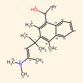 CCCC(O)c1c(C)c(C(C)(C)/C=C(\C)N(C)C)c(OC(C)=O)c2ccccc12